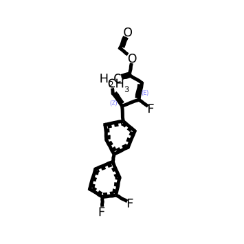 C=C(/C=C(F)\C(=C/C)c1ccc(-c2ccc(F)c(F)c2)cc1)OC=O